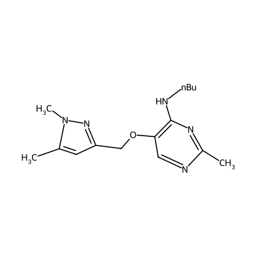 CCCCNc1nc(C)ncc1OCc1cc(C)n(C)n1